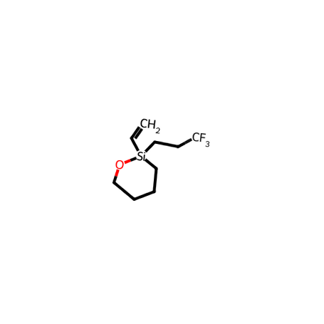 C=C[Si]1(CCC(F)(F)F)CCCCO1